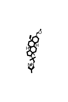 C=C[C@]12CC[C@@H]3C(CC[C@@]4(C)C3CC[C@@H]4C(C)(C)Cn3cc(C)cn3)[C@H]1CC[C@H](COC)C2